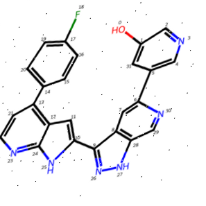 Oc1cncc(-c2cc3c(-c4cc5c(-c6ccc(F)cc6)ccnc5[nH]4)n[nH]c3cn2)c1